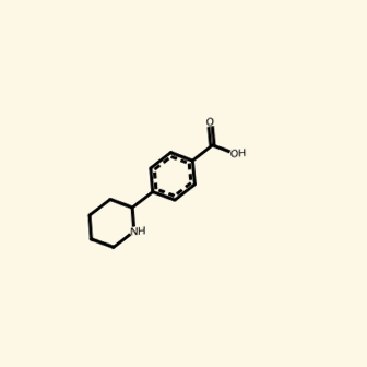 O=C(O)c1ccc(C2CCCCN2)cc1